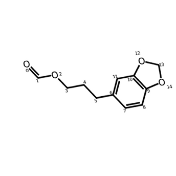 O=COCCCc1ccc2c(c1)OCO2